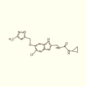 Cc1cc(COc2cc3[nH]c(CNC(=O)NC4CC4)cc3cc2Cl)on1